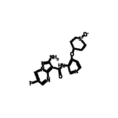 Nc1nn2cc(F)cnc2c1C(=O)Nc1cnccc1OC1CC[S+]([O-])CC1